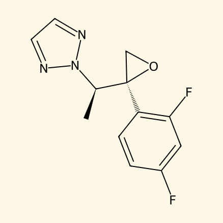 C[C@@H](n1nccn1)[C@@]1(c2ccc(F)cc2F)CO1